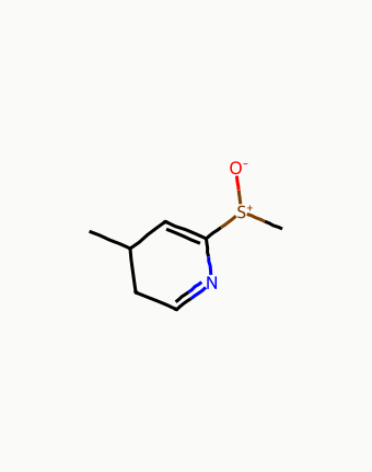 CC1C=C([S+](C)[O-])N=CC1